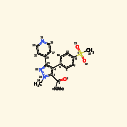 CNC(=O)c1c(-c2ccc(S(C)(=O)=O)cc2)c(-c2ccncc2)nn1C